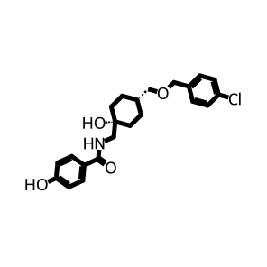 O=C(NC[C@]1(O)CC[C@@H](COCc2ccc(Cl)cc2)CC1)c1ccc(O)cc1